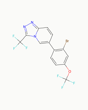 FC(F)(F)Oc1ccc(-c2ccc3nnc(C(F)(F)F)n3c2)c(Br)c1